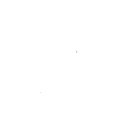 NC(=O)OC1CCc2c(Cl)c(F)cc(N)c2C1=O